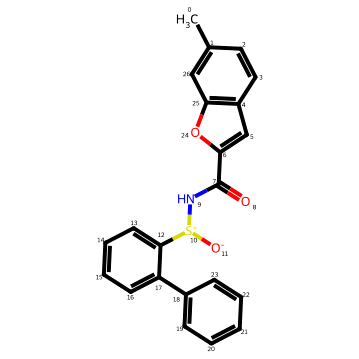 Cc1ccc2cc(C(=O)N[S+]([O-])c3ccccc3-c3ccccc3)oc2c1